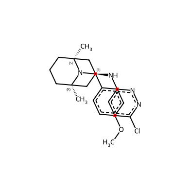 COc1ccc(CN2[C@@]3(C)CCC[C@]2(C)C[C@H](Nc2ccc(Cl)nn2)C3)cc1